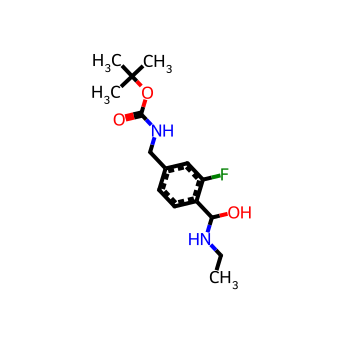 CCNC(O)c1ccc(CNC(=O)OC(C)(C)C)cc1F